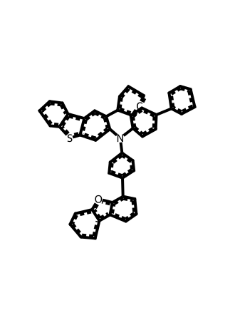 c1ccc(-c2ccc(N(c3ccc(-c4cccc5c4oc4ccccc45)cc3)c3cc4sc5ccccc5c4cc3-c3ccccc3)cc2)cc1